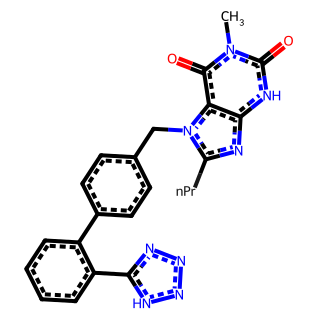 CCCc1nc2[nH]c(=O)n(C)c(=O)c2n1Cc1ccc(-c2ccccc2-c2nnn[nH]2)cc1